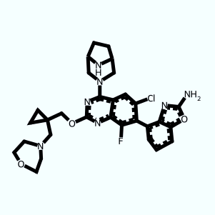 Nc1nc2c(-c3c(Cl)cc4c(N5CC6CCC(C5)N6)nc(OCC5(CN6CCOCC6)CC5)nc4c3F)cccc2o1